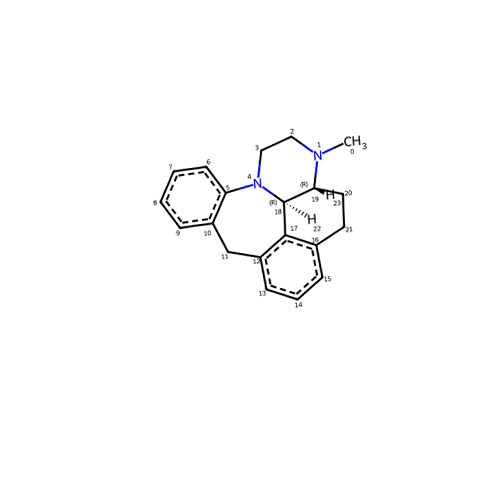 CN1CCN2c3ccccc3Cc3cccc4c3[C@@H]2[C@H]1CC4